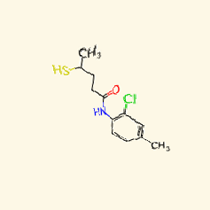 Cc1ccc(NC(=O)CCC(C)S)c(Cl)c1